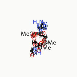 COOP1(=O)OC[C@H]2O[C@@H](n3ccc(=O)[nH]c3=O)[C@H](OC)[C@@H]2OP(=O)(OC)OC[C@@H]2C[C@@H](O1)[C@H](n1cnc3c(N)ncnc31)O2